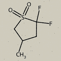 CC1CC(F)(F)S(=O)(=O)C1